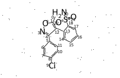 Cc1onc(-c2ccc(Cl)cc2)c1-c1ccccc1S(N)(=O)=O